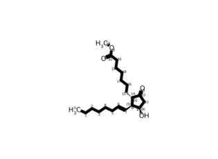 CCCCCCC=C[C@@H]1[C@H](O)CC(=O)[C@H]1CCCCCCC(=O)OC